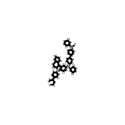 C/C=C\C(=C/C)c1ccc(-n2c3ccc(N(c4ccccc4)c4ccc(-c5ccc(N(C)c6ccccc6)cc5)cc4)cc3c3c4ccccc4ccc32)cc1